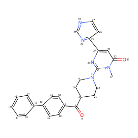 Cn1c(N2CCC(C(=O)c3ccc(-c4ccccc4)cc3)CC2)nc(-c2ccncn2)cc1=O